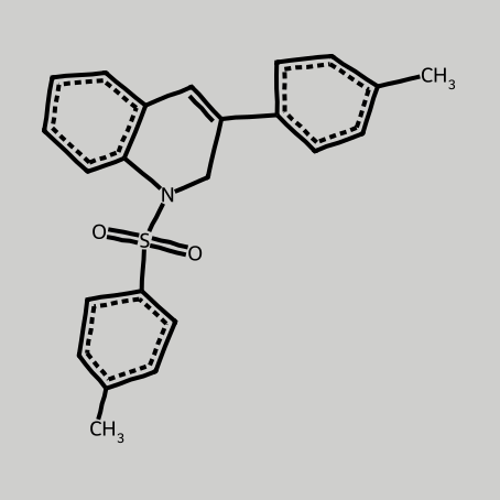 Cc1ccc(C2=Cc3ccccc3N(S(=O)(=O)c3ccc(C)cc3)C2)cc1